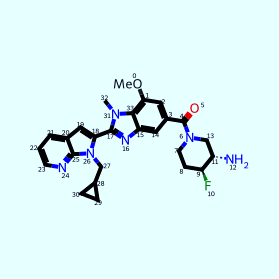 COc1cc(C(=O)N2CC[C@H](F)[C@@H](N)C2)cc2nc(-c3cc4cccnc4n3CC3CC3)n(C)c12